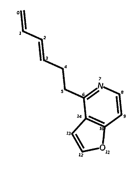 [CH]=CC=CCCc1nccc2occc12